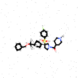 CC(=O)N1CCC(C(=O)N2CC[C@](c3ccc(C(OCc4ccccc4)(C(F)(F)F)C(F)(F)F)cc3)(S(=O)(=O)c3ccc(F)cc3)C2)CC1